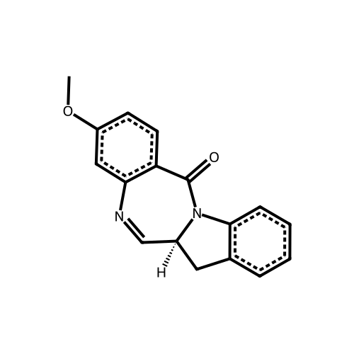 COc1ccc2c(c1)N=C[C@@H]1Cc3ccccc3N1C2=O